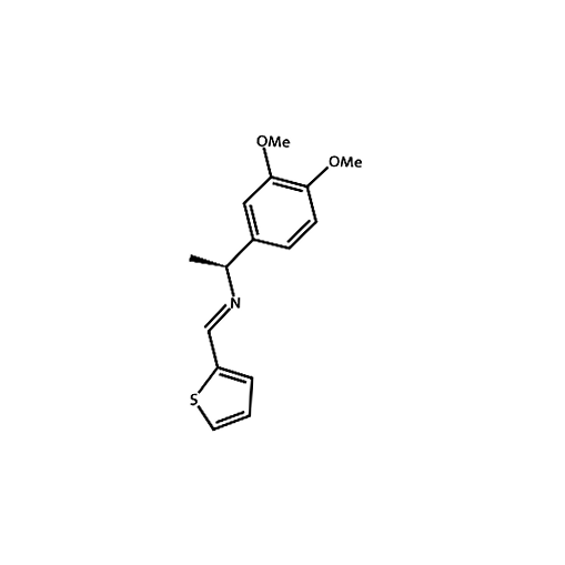 COc1ccc([C@H](C)/N=C/c2cccs2)cc1OC